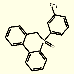 Cc1cccc(P2(=O)Cc3ccccc3-c3ccccc32)c1